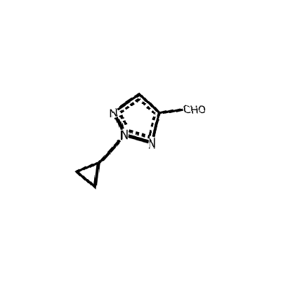 O=Cc1cnn(C2CC2)n1